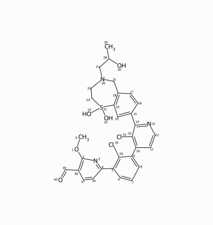 COc1nc(-c2cccc(-c3ccnc(-c4ccc5c(c4)S(O)(O)CCN(CC(C)O)C5)c3Cl)c2Cl)ccc1C=O